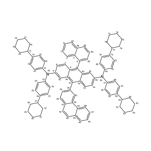 c1ccc2c(-c3c4ccc(N(c5ccc(C6CCCCC6)cc5)c5ccc(C6CCCCC6)cc5)cc4c(-c4ccc5ccc6ccccc6c5c4)c4ccc(N(c5ccc(C6CCCCC6)cc5)c5ccc(C6CCCCC6)cc5)cc34)cccc2c1